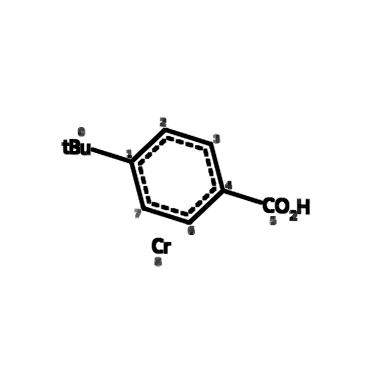 CC(C)(C)c1ccc(C(=O)O)cc1.[Cr]